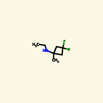 CCNC1(C)CC(F)(F)C1